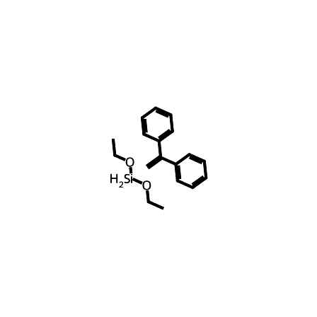 C=C(c1ccccc1)c1ccccc1.CCO[SiH2]OCC